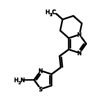 CC1CCn2cnc(C=Cc3csc(N)n3)c2C1